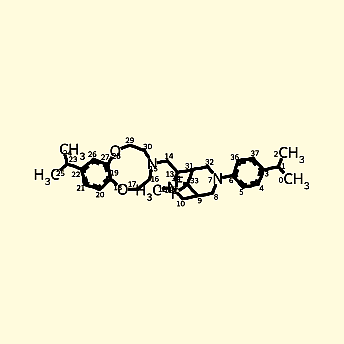 CC(C)c1ccc(N2CC3CN(C)C(CN4CCOc5ccc(C(C)C)cc5OCC4)C(C2)C3(F)F)cc1